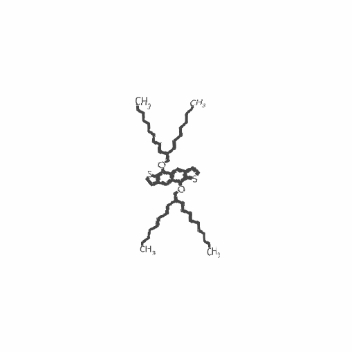 CCCCCCCCCCC(CCCCCCCC)COc1c2cc3ccsc3c(OCC(CCCCCCCC)CCCCCCCCCC)c2cc2ccsc12